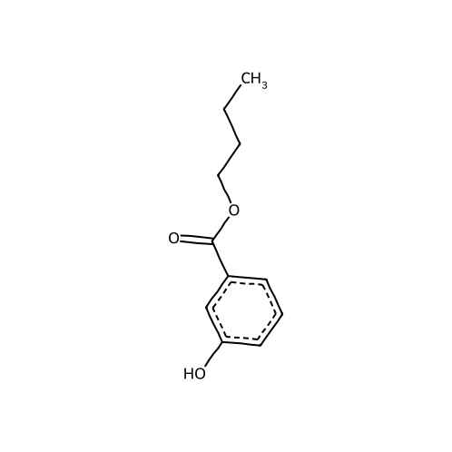 CCCCOC(=O)c1cccc(O)c1